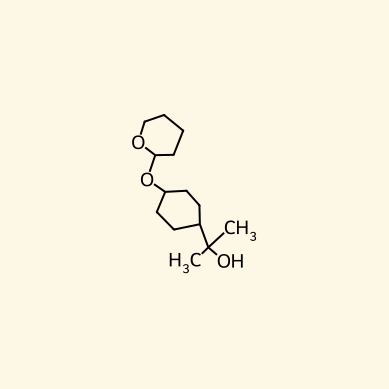 CC(C)(O)C1CCC(OC2CCCCO2)CC1